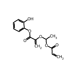 C=CC(=O)OC(C)OC(=C)C(=O)Oc1ccccc1O